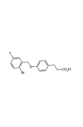 CCOC(=O)CCc1ccc(OCc2cc(F)ccc2Br)cc1